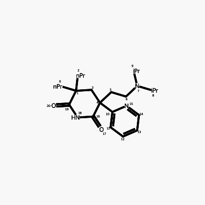 CCCC1(CCC)CC(CCN(C(C)C)C(C)C)(c2ccccn2)C(=O)NC1=O